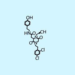 C#CCN1C(=O)CN(CCc2ccc(Cl)cc2Cl)C(=O)C1CC(=O)NCCc1ccc(O)cc1